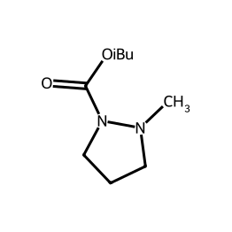 CC(C)COC(=O)N1CCCN1C